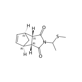 CSC(C)N1C(=O)[C@@H]2[C@H](C1=O)[C@H]1C=C[C@@H]2C1